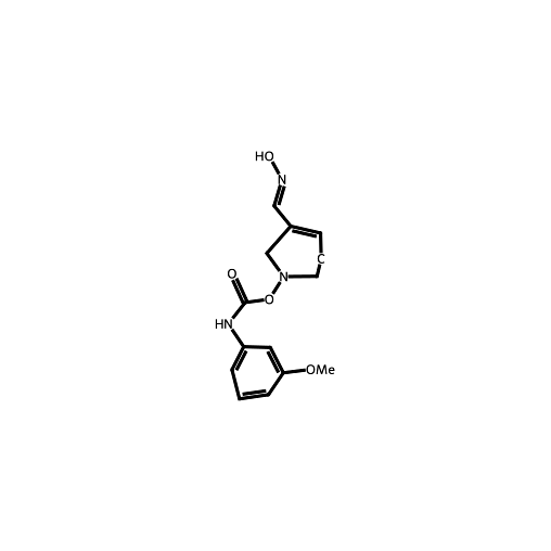 COc1cccc(NC(=O)ON2CCC=C(/C=N/O)C2)c1